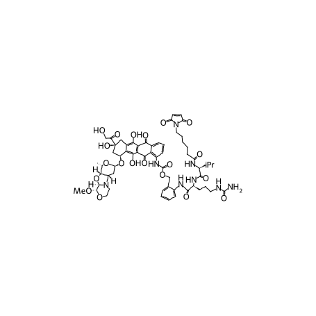 CO[C@H]1OCCN2[C@@H]1O[C@@H]1[C@H](C)O[C@@H](O[C@H]3C[C@](O)(C(=O)CO)Cc4c(O)c5c(c(O)c43)C(=O)c3c(NC(=O)OCc4ccccc4NC(=O)[C@H](CCCNC(N)=O)NC(=O)[C@@H](NC(=O)CCCCCN4C(=O)C=CC4=O)C(C)C)cccc3C5=O)C[C@@H]12